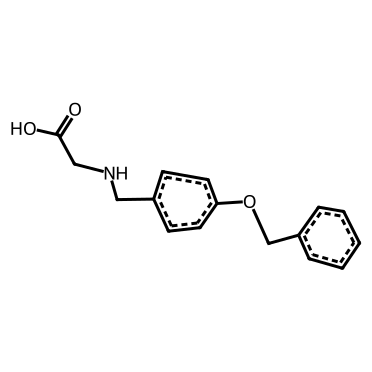 O=C(O)CNCc1ccc(OCc2ccccc2)cc1